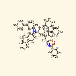 CC1(C)c2ccccc2-c2ccc(N(c3ccc(C4(c5ccc6nc(-c7ccccc7)oc6c5)c5ccccc5-c5ccccc54)cc3)c3cccc(-c4ccccc4)c3)cc21